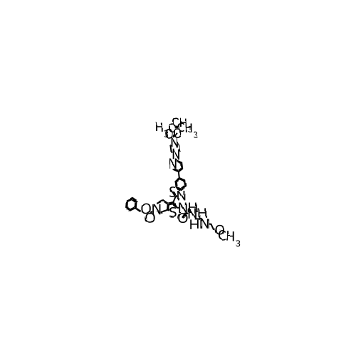 COCCNCCNC(=O)Nc1sc2c(c1-c1nc3ccc(-c4ccc(N5CCN(C(=O)OC(C)(C)C)CC5)nc4)cc3s1)CCN(C(=O)OCc1ccccc1)C2